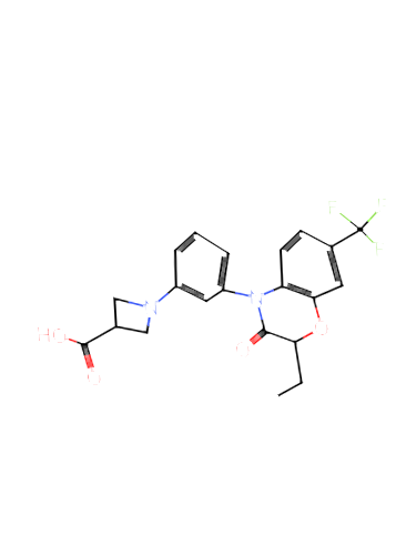 CCC1Oc2cc(C(F)(F)F)ccc2N(c2cccc(N3CC(C(=O)O)C3)c2)C1=O